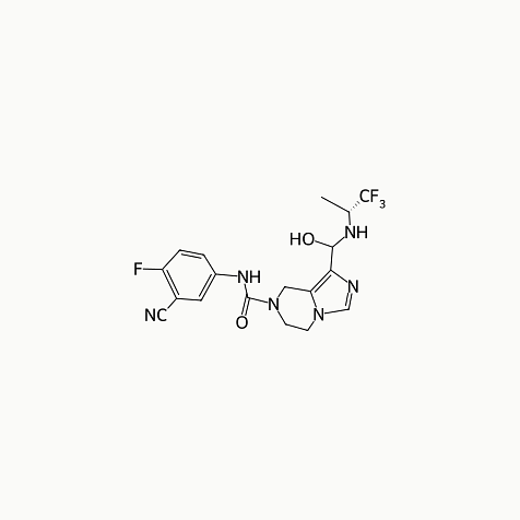 C[C@@H](NC(O)c1ncn2c1CN(C(=O)Nc1ccc(F)c(C#N)c1)CC2)C(F)(F)F